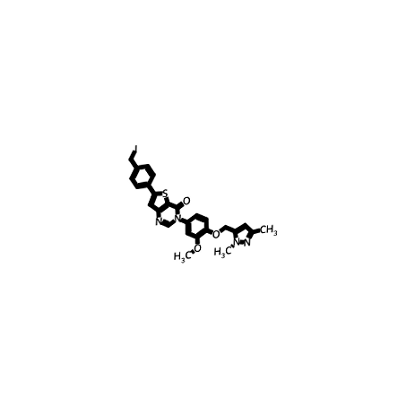 COc1cc(-n2cnc3cc(-c4ccc(CI)cc4)sc3c2=O)ccc1OCc1cc(C)nn1C